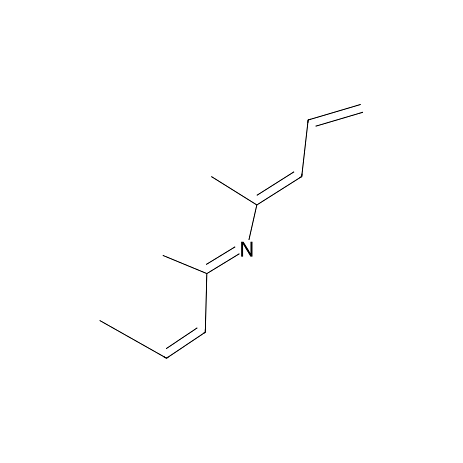 C=C/C=C(C)/N=C(C)/C=C\C